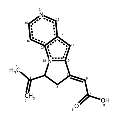 C=C(C)C1C/C(=C\C(=O)O)c2cc3cnccc3n21